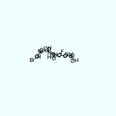 O=C(CC(O)[C@@H]1CC(c2ccc(Br)cn2)=NO1)NC[C@H]1CN(c2ccc(-c3ccc(C4=NO[C@H](CO)C4)nc3)c(F)c2)C(=O)O1